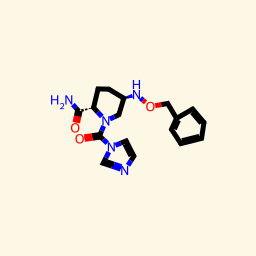 NC(=O)[C@@H]1CC[C@@H](NOCc2ccccc2)CN1C(=O)n1ccnc1